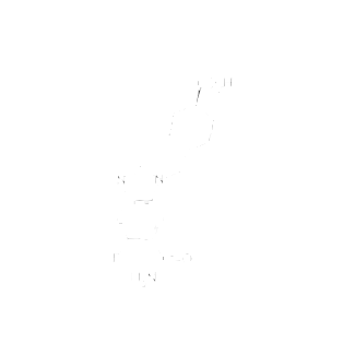 NC(=O)c1cc2c(cc1F)ncn2C[C@H]1CC[C@H](C(=O)O)CC1